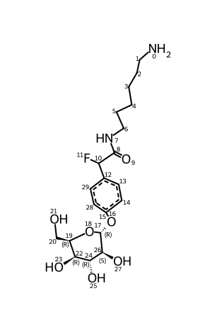 NCCCCCCNC(=O)C(F)c1ccc(O[C@H]2O[C@H](CO)[C@H](O)[C@@H](O)[C@@H]2O)cc1